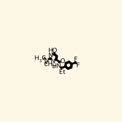 CC[C@@H](NC(=O)c1cc(=O)[nH]c(N(C)C)n1)c1ccc(C(F)F)cc1